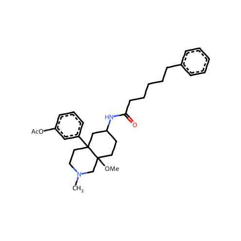 COC12CCC(NC(=O)CCCCCc3ccccc3)CC1(c1cccc(OC(C)=O)c1)CCN(C)C2